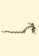 CCCCCCCCCCCCCCCCCC1OCC(COCCCCCCN2C(C)=CSC2OS(=O)(=O)c2ccc(C)cc2)O1